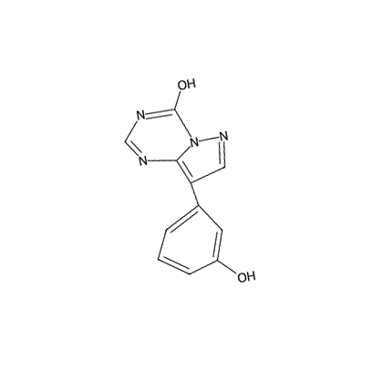 Oc1cccc(-c2cnn3c(O)ncnc23)c1